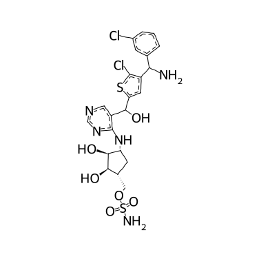 NC(c1cccc(Cl)c1)c1cc(C(O)c2cncnc2N[C@@H]2C[C@H](COS(N)(=O)=O)[C@@H](O)[C@H]2O)sc1Cl